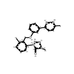 Cc1ccc(-c2cccc(OCc3c(C)cccc3-n3nnn(C)c3=O)c2)nn1